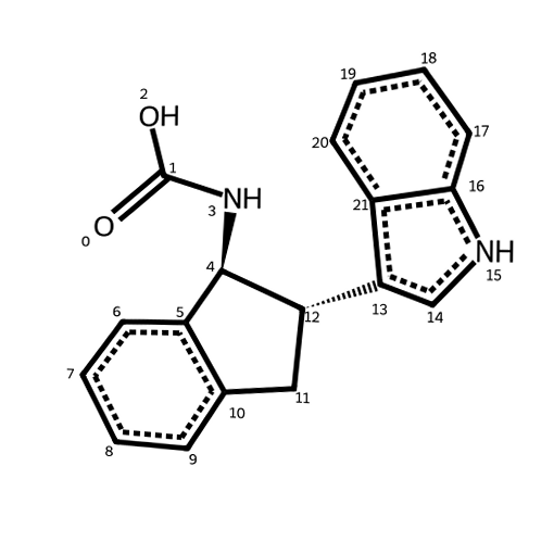 O=C(O)N[C@@H]1c2ccccc2C[C@H]1c1c[nH]c2ccccc12